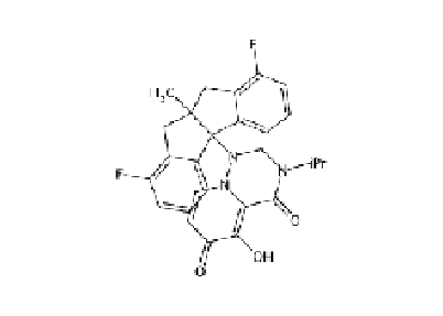 CC(C)N1CN(C23c4cccc(F)c4CC2(C)Cc2c(F)cccc23)n2ccc(=O)c(O)c2C1=O